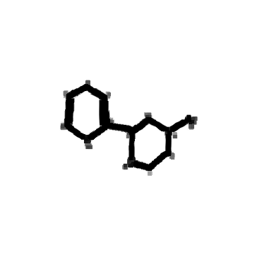 CC(=O)N1CCOC(C2=CCC=CS2)C1